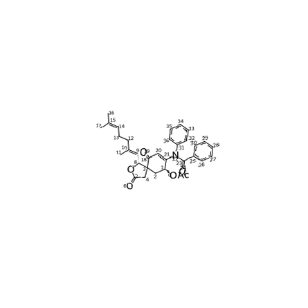 CC(=O)O[C@H]1CC2(CC(=O)O[C@@H]2/C=C(\C)CCC=C(C)C)C(=O)C=C1N(C(=O)c1ccccc1)c1ccccc1